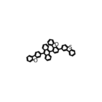 c1ccc2c(c1)oc1cc(-c3c4ccccc4c(-c4ccc(-c5ccc6sc7ccccc7c6c5)c5oc6ccccc6c45)c4ccccc34)ccc12